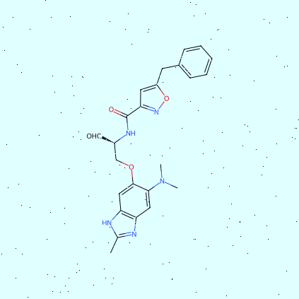 Cc1nc2cc(N(C)C)c(OC[C@@H](C=O)NC(=O)c3cc(Cc4ccccc4)on3)cc2[nH]1